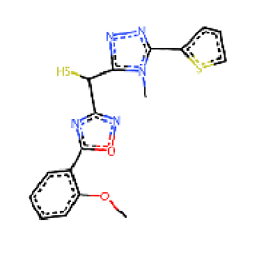 COc1ccccc1-c1nc(C(S)c2nnc(-c3cccs3)n2C)no1